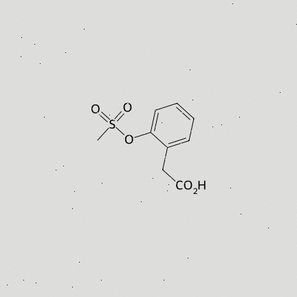 CS(=O)(=O)Oc1ccccc1CC(=O)O